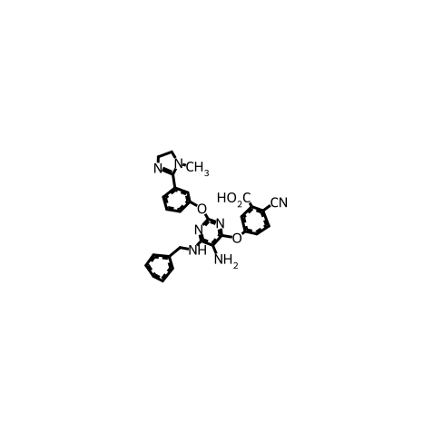 CN1CCN=C1c1cccc(Oc2nc(NCc3ccccc3)c(N)c(Oc3ccc(C#N)c(C(=O)O)c3)n2)c1